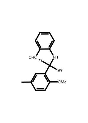 CCCC(CC)(Pc1ccccc1C=O)c1cc(C)ccc1OC